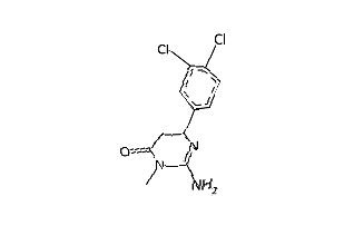 CN1C(=O)CC(c2ccc(Cl)c(Cl)c2)N=C1N